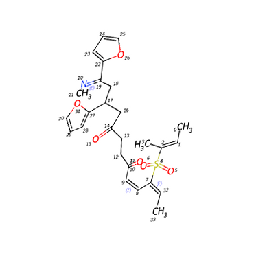 CC=C(C)S(=O)(=O)C(/C=C\C(=O)CCC(=O)CC(C/C(=N\C)c1ccco1)c1ccco1)=C/C